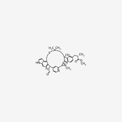 COC(=O)[C@@H](C)Cc1cccc(C2(C)CCCC(C)(C)CSCCc3c(c(F)cc4[nH]ccc34)C(OC=O)c3ccnc(c3)-c3nc2nn3C)c1